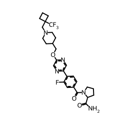 NC(=O)C1CCCN1C(=O)c1ccc(-c2cnc(OCC3CCN(CC4(C(F)(F)F)CCC4)CC3)cn2)c(F)c1